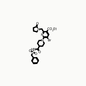 CCOC(=O)c1cc(Br)c(N2CCC(C(=O)NS(=O)(=O)Cc3ccccc3)CC2)nc1CN1CCCC1=O